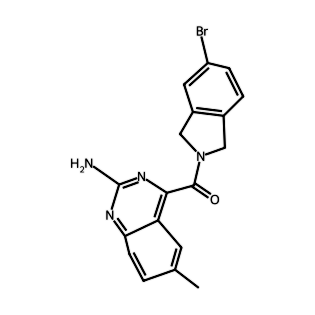 Cc1ccc2nc(N)nc(C(=O)N3Cc4ccc(Br)cc4C3)c2c1